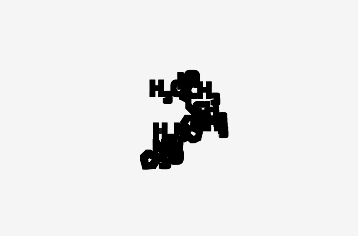 C[C@H](CCCC(C)(C)N=O)[C@@]1(N)CC[C@@]2(N)/C(=C/CS(=O)(=O)c3nc4ccccc4s3)CCC[C@@]21C